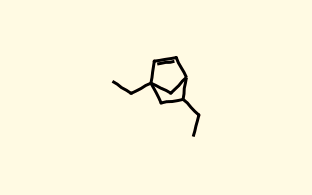 CCC1CC2(CC)C=CC1C2